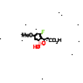 COc1cc(F)c2c(c1)B(O)OC2CC(=O)O